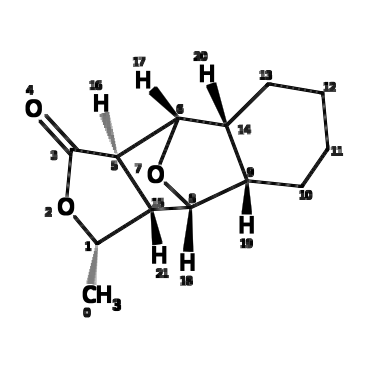 C[C@@H]1OC(=O)[C@H]2[C@H]3O[C@H]([C@H]4CCCC[C@H]43)[C@@H]21